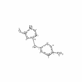 Cc1ccc(Oc2cc[nH]c(=O)c2)cc1